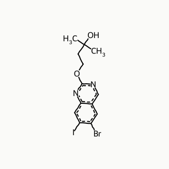 CC(C)(O)CCOc1ncc2cc(Br)c(I)cc2n1